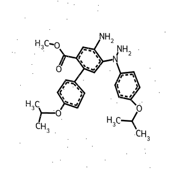 COC(=O)c1cc(N)c(N(N)c2ccc(OC(C)C)cc2)cc1-c1ccc(OC(C)C)cc1